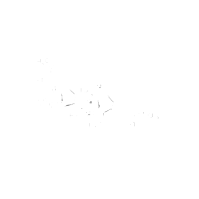 COc1cc([C](S)(S)[Ni][C](S)(S)c2ccc(OCC(Cl)OC)c(OC)c2)ccc1OCC(Cl)OC